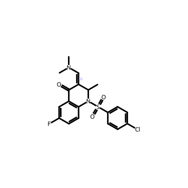 CC1/C(=C/N(C)C)C(=O)c2cc(F)ccc2N1S(=O)(=O)c1ccc(Cl)cc1